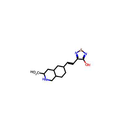 O=C(O)C1CC2CC(C=Cc3nsnc3O)CCC2CN1